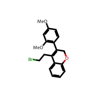 COc1ccc(C2=C(CCBr)c3ccccc3OC2)c(OC)c1